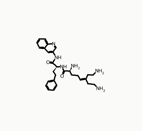 NCCC(=CCC[C@H](N)C(=O)N[C@@H](CCc1ccccc1)C(=O)Nc1cnc2ccccc2c1)CCN